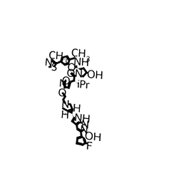 Cc1ncsc1-c1ccc([C@H](C)NC(=O)[C@@H]2C[C@@H](O)CN2C(=O)[C@@H](c2cc(OCCN3C[C@@H]4[C@H](C3)[C@H]4c3cc4cc(-c5cccc(F)c5O)nnc4[nH]3)no2)C(C)C)cc1